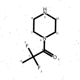 CC(F)(F)C(=O)N1CCNCC1